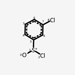 [O-][S+](Cl)c1cccc(Cl)c1